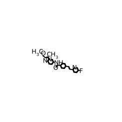 COCc1nc2ccc(NC(=O)c3ccc(/C=C/c4ccc(F)cn4)cc3)cn2c1C